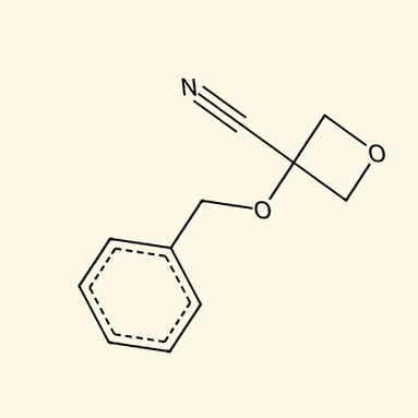 N#CC1(OCc2ccccc2)COC1